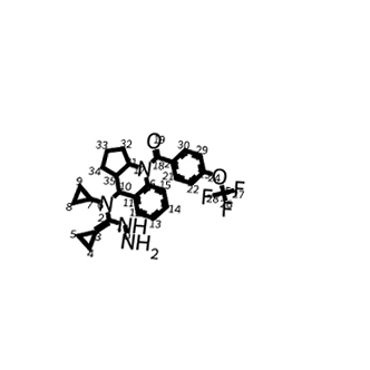 NNC(=C1CC1)N(C1CC1)C1c2ccccc2N(C(=O)c2ccc(OC(F)(F)F)cc2)C2CCCC21